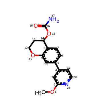 COc1cc(-c2ccc3c(c2)OCCC3OC(N)=O)ccn1